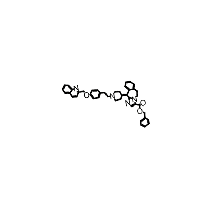 O=C(OCc1ccccc1)c1cnc2n1CCc1ccccc1C2=C1CCN(CCc2ccc(OCc3ccc4ccccc4n3)cc2)CC1